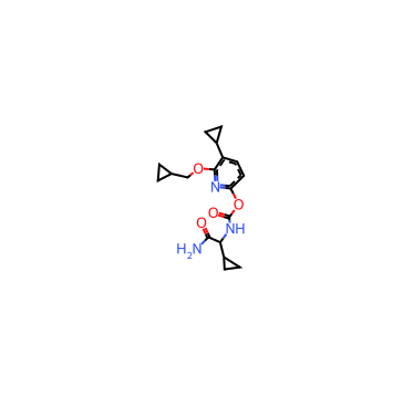 NC(=O)C(NC(=O)Oc1ccc(C2CC2)c(OCC2CC2)n1)C1CC1